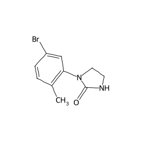 Cc1ccc(Br)cc1N1CCNC1=O